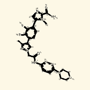 Cc1nn(CC(=O)Nc2ccc(N3CCOCC3)nn2)cc1-c1ccc(-c2cnc(C(N)=O)n2C)c(F)c1F